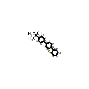 CC(C)(C)c1ccc(-c2ccc3c(c2)sc2ccccc23)cc1